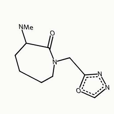 CNC1CCCCN(Cc2nnco2)C1=O